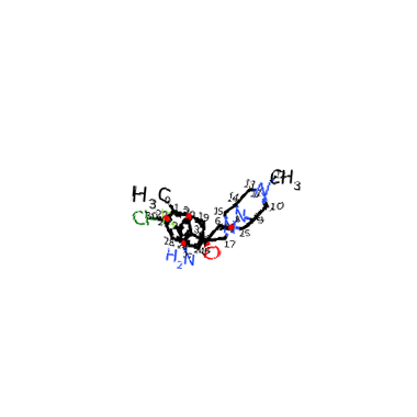 Cc1cc(C(=O)/C=C/N2C3CN(C)CC2CN(Cc2ccc(F)cc2)C3)c(N)cc1Cl